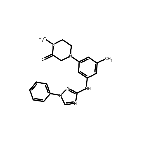 Cc1cc(Nc2ncn(-c3ccccc3)n2)cc(N2CCN(C)C(=O)C2)c1